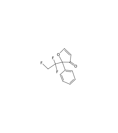 O=C1C=COC1(c1ccccc1)C(F)(F)CF